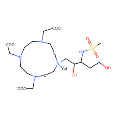 CS(=O)(=O)NC(CCO)C(O)C[N+]1([Gd])CCN(CC(=O)[O-])CCN(CC(=O)[O-])CCN(CC(=O)[O-])CC1